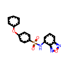 O=S(=O)(Nc1cccc2nonc12)c1ccc(Oc2ccccc2)cc1